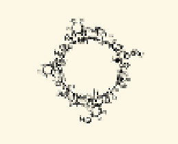 CC[C@H](C)[C@@H]1NC(=O)[C@H](Cc2ccccc2)N(C)C(=O)[C@@H](C)NC(=O)C[C@@H](C(=O)N2CCCCC2)NC(=O)[C@H](CC(C)C)N(C)C(=O)[C@H](C)N(C)C(=O)[C@H](COC(C)(C)C)NC(=O)[C@H](C)N(C)C(=O)CN(C)C(=O)[C@H](Cc2ccc(O)cc2)NC(=O)[C@H](CC(C)C)N(C)C1=O